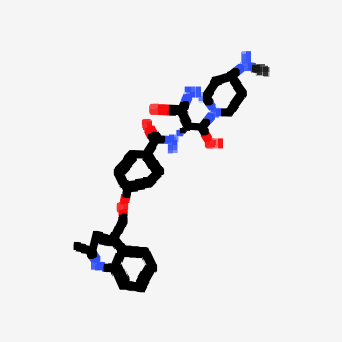 CCNC1CCN(C(O)[C@H](NC(=O)c2ccc(OCc3cc(C)nc4ccccc34)cc2)C(N)=O)CC1